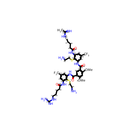 COc1cc(OC)c(C(=O)Nc2cc(C(F)(F)F)cc(NC(=O)CCCCNC(=N)N)c2SCCN)cc1C(=O)Nc1cc(C(F)(F)F)cc(NC(=O)CCCCNC(C)=N)c1SCCN